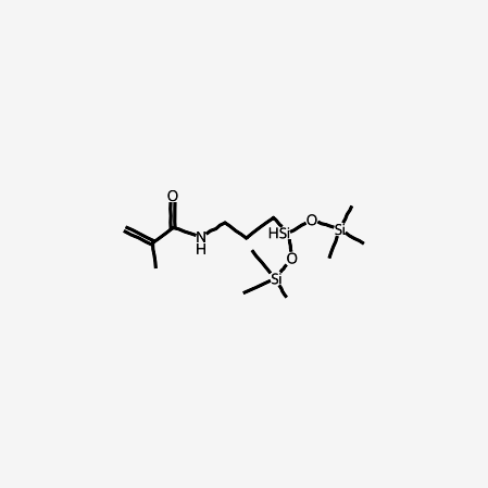 C=C(C)C(=O)NCCC[SiH](O[Si](C)(C)C)O[Si](C)(C)C